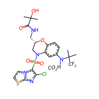 CC(C)(O)C(=O)NC[C@H]1CN(S(=O)(=O)c2c(Cl)nc3sccn23)c2cc(N(C(=O)O)C(C)(C)C(F)(F)F)ccc2O1